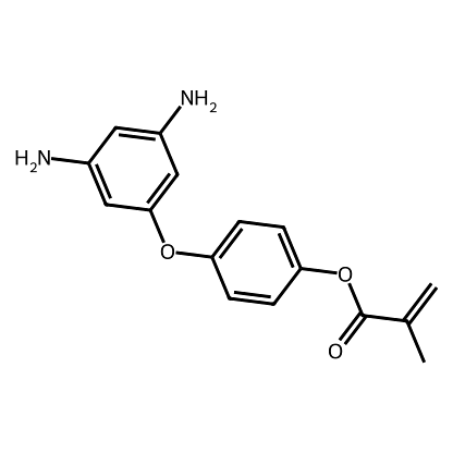 C=C(C)C(=O)Oc1ccc(Oc2cc(N)cc(N)c2)cc1